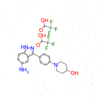 Nc1ccc2[nH]nc(-c3ccc(N4CCC(O)CC4)cc3)c2c1.O=C(O)C(F)(F)F.O=C(O)C(F)(F)F